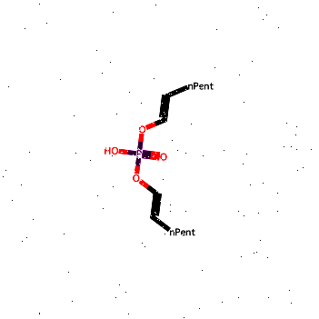 CCCCC/C=C/OP(=O)(O)O/C=C/CCCCC